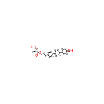 C=C(CO)C(=O)OCCCc1ccc(C2CCC(C3CCC(O)CC3)CC2)cc1